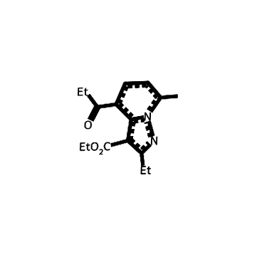 CCOC(=O)c1c(CC)nn2c(C)ccc(C(=O)CC)c12